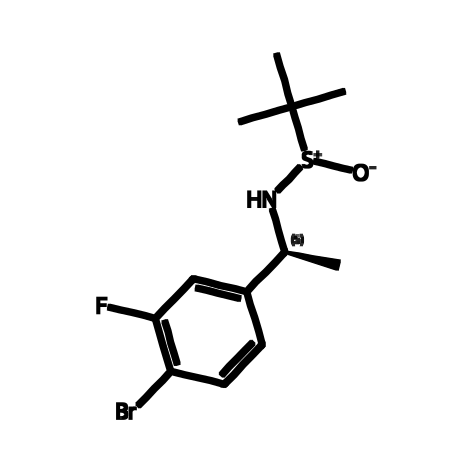 C[C@H](N[S+]([O-])C(C)(C)C)c1ccc(Br)c(F)c1